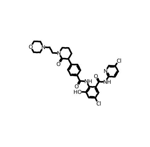 O=C(Nc1c(O)cc(Cl)cc1C(=O)Nc1ccc(Cl)cn1)c1ccc(C2CCCN(CCN3CCOCC3)C2=O)cc1